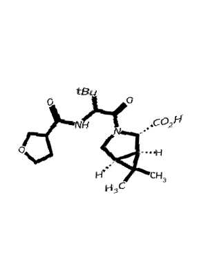 CC(C)(C)C(NC(=O)C1CCOC1)C(=O)N1C[C@H]2[C@@H]([C@H]1C(=O)O)C2(C)C